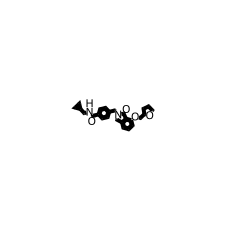 O=C(NCC1CC1)c1ccc(CN2Cc3cccc(OCC4CCCO4)c3C2=O)cc1